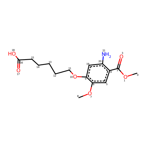 COC(=O)c1cc(OC)c(OCCCCCC(=O)O)cc1N